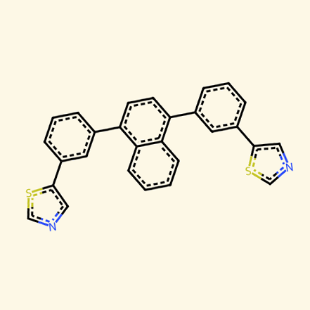 c1cc(-c2cncs2)cc(-c2ccc(-c3cccc(-c4cncs4)c3)c3ccccc23)c1